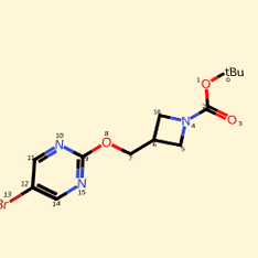 CC(C)(C)OC(=O)N1CC(COc2ncc(Br)cn2)C1